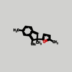 Cc1ccc2c(c1)=C(C(C)(C)C)C(C)(c1ccc(C)o1)[C]=2